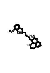 NC(=O)C(CCCCCOc1cccc([N+](=O)[O-])c1C=O)C1NCCc2ccccc21